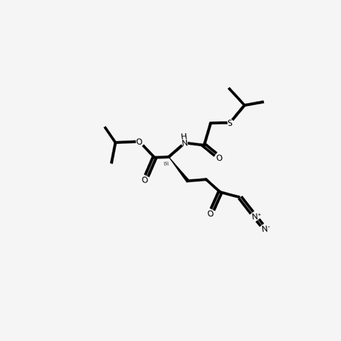 CC(C)OC(=O)[C@H](CCC(=O)C=[N+]=[N-])NC(=O)CSC(C)C